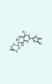 CC[C@H](Nc1cc(-c2n[nH]c(=O)o2)cc(F)c1Cl)C1CCNCC1